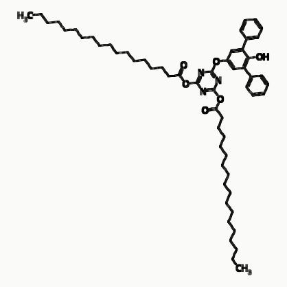 CCCCCCCCCCCCCCCCCC(=O)Oc1nc(OC(=O)CCCCCCCCCCCCCCCCC)nc(Oc2cc(-c3ccccc3)c(O)c(-c3ccccc3)c2)n1